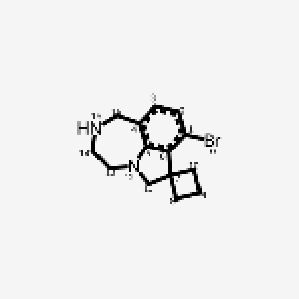 Brc1ccc2c3c1C1(CCC1)CN3CCNC2